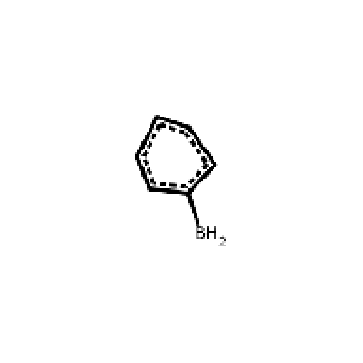 Bc1ccccc1